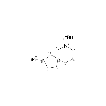 CC(C)N1CCC2(CCCN(C(C)(C)C)C2)C1